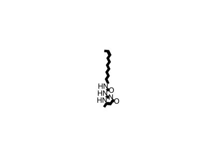 C/C=C\CCCCCCCCNC(=O)Nc1nc(=O)cc(C)[nH]1